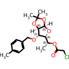 Cc1ccc(CO[C@@H]2[C@H]3OC(C)(C)O[C@H]3O[C@@H]2[C@@H](C)OC(=O)CCl)cc1